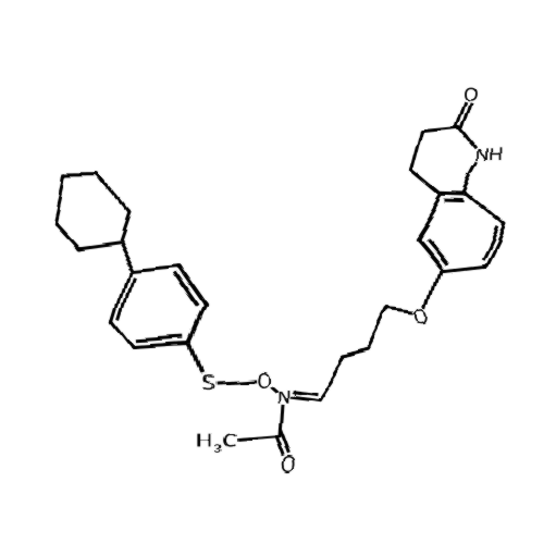 CC(=O)[N+](=CCCCOc1ccc2c(c1)CCC(=O)N2)OSc1ccc(C2CCCCC2)cc1